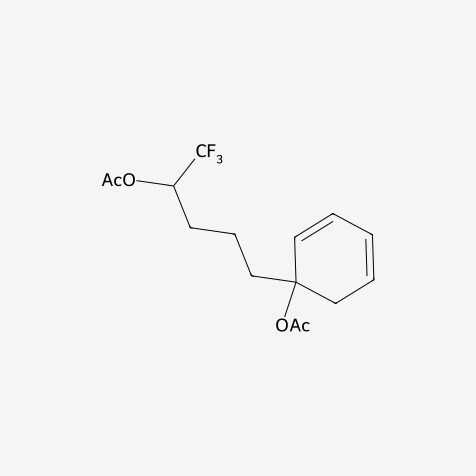 CC(=O)OC(CCCC1(OC(C)=O)C=CC=CC1)C(F)(F)F